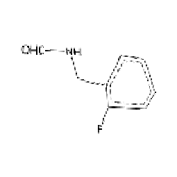 O=CNCc1ccccc1F